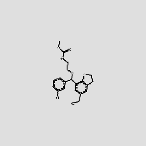 COC(=O)NCCOC(c1cccc(Cl)c1)c1cc(CO)cc2c1OCC2